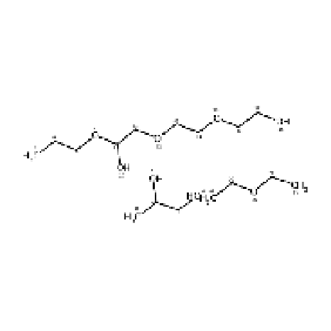 CC(O)CO.CCCOC(O)COCCOCCO.CCOCC